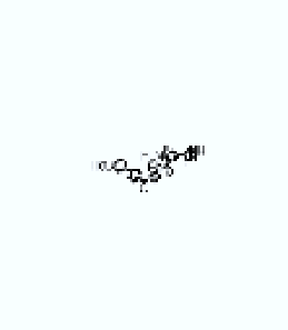 Cc1n[nH]cc1-c1cnc(N)c(C(=O)N[C@@H]2CCN(C(=O)c3ccc(-c4cccc(CO)c4)cc3)C2)c1